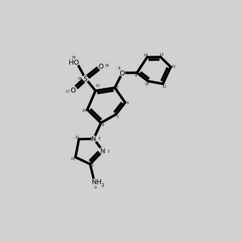 NC1=NN(c2ccc(Oc3ccccc3)c(S(=O)(=O)O)c2)CC1